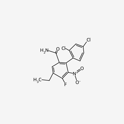 CCc1cc(C(N)=O)c(-c2ccc(Cl)cc2Cl)c([N+](=O)[O-])c1F